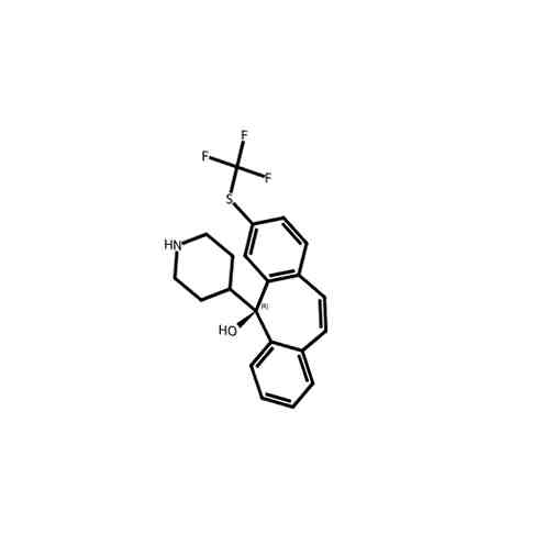 O[C@]1(C2CCNCC2)c2ccccc2C=Cc2ccc(SC(F)(F)F)cc21